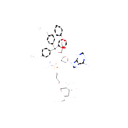 COc1ccc(C(OC(C(=O)COc2ccccc2)[C@H]2O[C@@H](n3cnc4c(N)ncnc43)C[C@@H]2OP(=O)(OCCCO[C@@H]2O[C@H](COC(C)=O)[C@@H](OC(C)=O)[C@H](OC(C)=O)[C@H]2NC(C)=O)N(C(C)C)C(C)C)(c2ccccc2)c2ccc(OC)cc2)cc1